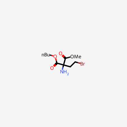 CCCCOC(=O)C(N)(CCBr)C(=O)OC